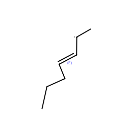 C[CH]/C=C/CCC